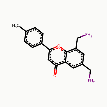 Cc1ccc(-c2cc(=O)c3cc(CP)cc(CP)c3o2)cc1